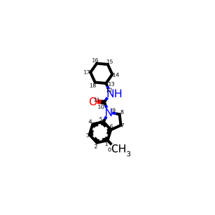 Cc1cccc2c1CCN2C(=O)NC1CCCCC1